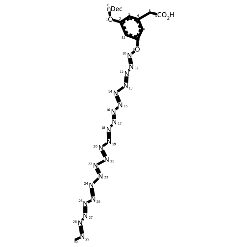 CCCCCCCCCCOc1cc(CC(=O)O)cc(ON=NN=NN=NN=NN=NN=NN=NN=NN=NN=NC)c1